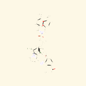 COC(=O)c1ccc2c(c1)N1CCCCc3cc(Cl)cc(c3CO2)[C@]2(CCCN2C(C(=O)O)/C(F)=C/C[C@H](C)CS(=O)(=O)N(Cc2ccc(OC)cc2)Cc2ccc(OC)cc2)C1